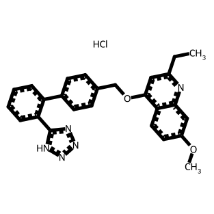 CCc1cc(OCc2ccc(-c3ccccc3-c3nnn[nH]3)cc2)c2ccc(OC)cc2n1.Cl